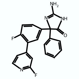 NC1=NC(c2cc[c]cc2)(c2ccc(F)c(-c3ccnc(F)c3)c2)C(=O)N1